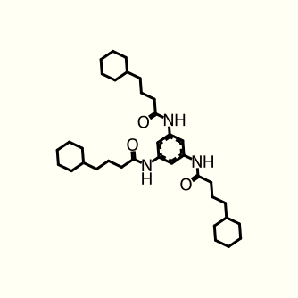 O=C(CCCC1CCCCC1)Nc1cc(NC(=O)CCCC2CCCCC2)cc(NC(=O)CCCC2CCCCC2)c1